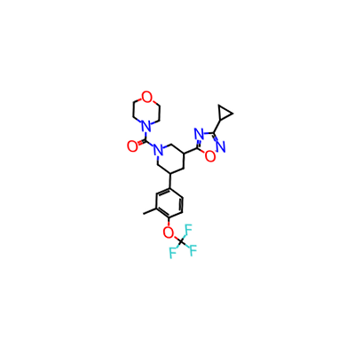 Cc1cc(C2CC(c3nc(C4CC4)no3)CN(C(=O)N3CCOCC3)C2)ccc1OC(F)(F)F